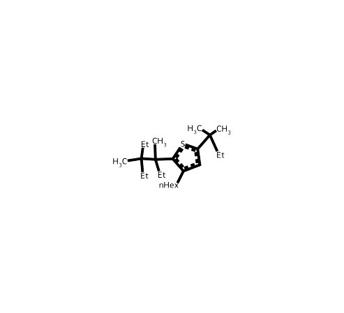 CCCCCCc1cc(C(C)(C)CC)sc1C(C)(CC)C(C)(CC)CC